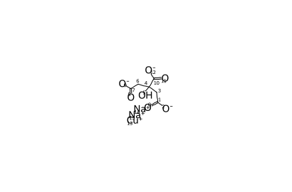 O=C([O-])CC(O)(CC(=O)[O-])C(=O)[O-].[Cu+].[Na+].[Na+]